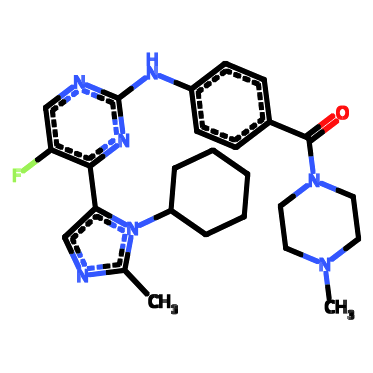 Cc1ncc(-c2nc(Nc3ccc(C(=O)N4CCN(C)CC4)cc3)ncc2F)n1C1CCCCC1